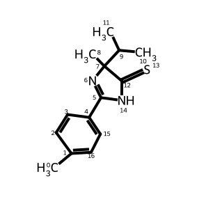 Cc1ccc(C2=NC(C)(C(C)C)C(=S)N2)cc1